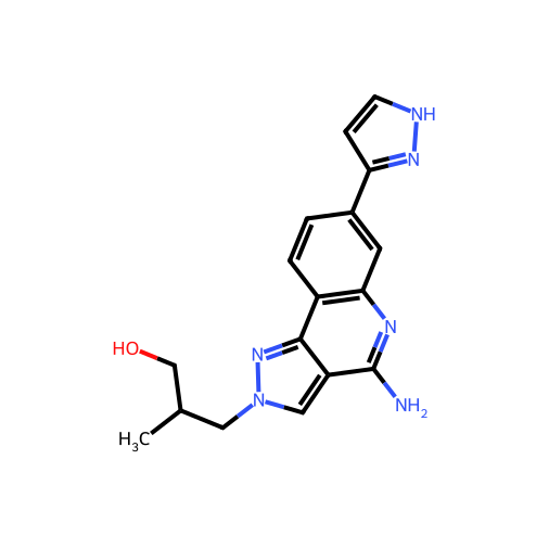 CC(CO)Cn1cc2c(N)nc3cc(-c4cc[nH]n4)ccc3c2n1